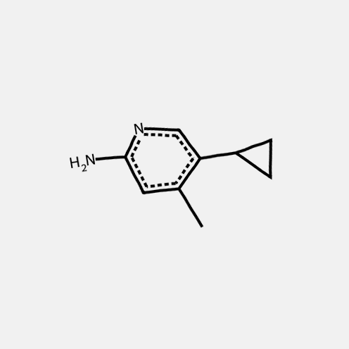 Cc1cc(N)ncc1C1CC1